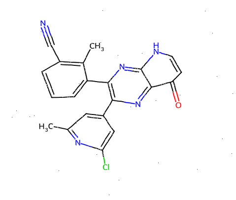 Cc1cc(-c2nc3c(=O)cc[nH]c3nc2-c2cccc(C#N)c2C)cc(Cl)n1